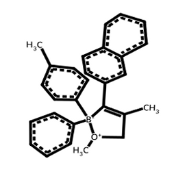 CC1=C(c2ccc3ccccc3c2)[B-](c2ccccc2)(c2ccc(C)cc2)[O+](C)C1